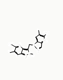 Cc1cc2c(cnn2Cc2c3nc(Cl)c(C)cc3nn2C)nc1Cl